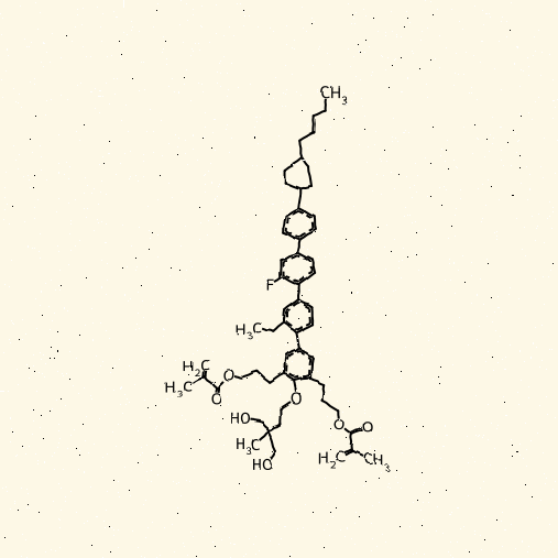 C=C(C)C(=O)OCCCc1cc(-c2ccc(-c3ccc(-c4ccc(C5CCC(CCCCC)CC5)cc4)cc3F)cc2CC)cc(CCCOC(=O)C(=C)C)c1OCCC(C)(CO)CO